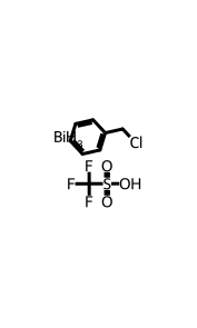 ClCc1ccccc1.O=S(=O)(O)C(F)(F)F.[BiH3]